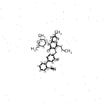 CCCc1c(Cc2ccc(-c3ccccc3C#N)cc2F)c(=O)n([C@H]2C[C@@H](C)O[C@@H](C)C2)c2nc(C)nn12